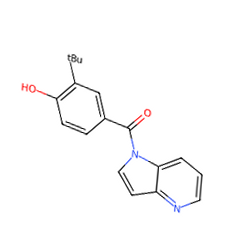 CC(C)(C)c1cc(C(=O)n2ccc3ncccc32)ccc1O